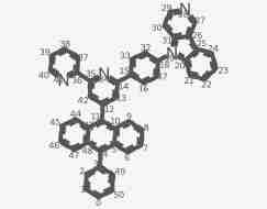 c1ccc(-c2c3ccccc3c(-c3cc(-c4ccc(-n5c6ccccc6c6cnccc65)cc4)nc(-c4ccccn4)c3)c3ccccc23)cc1